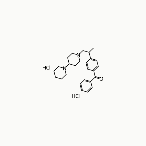 CC(CN1CCC(N2CCCCC2)CC1)c1ccc(C(=O)c2ccccc2)cc1.Cl.Cl